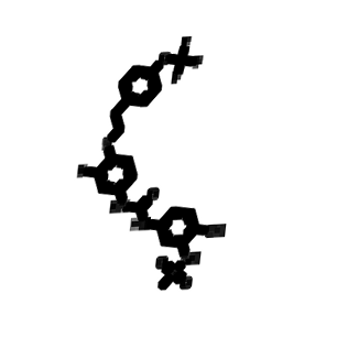 CS(=O)(=O)Nc1cc(NC(=O)Nc2ccc(SCCc3ccc(OC(F)(F)F)cc3)c(F)c2)ccc1O